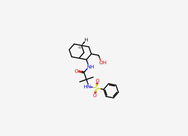 CC(C)(NS(=O)(=O)c1ccccc1)C(=O)NC1C(CO)C[C@H]2CCCC1C2